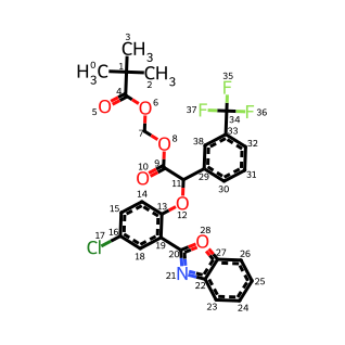 CC(C)(C)C(=O)OCOC(=O)C(Oc1ccc(Cl)cc1-c1nc2ccccc2o1)c1cccc(C(F)(F)F)c1